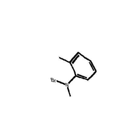 Cc1ccccc1N(C)Br